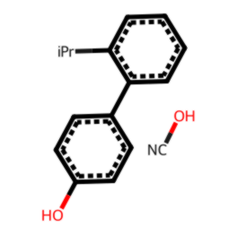 CC(C)c1ccccc1-c1ccc(O)cc1.N#CO